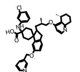 C[C@@H](COc1ccnc2c1[C@H](C)CCC2)CC1Cc2ccc(OCc3cccnc3)cc2C12CCC(Nc1cccc(Cl)c1)(C(=O)O)CC2